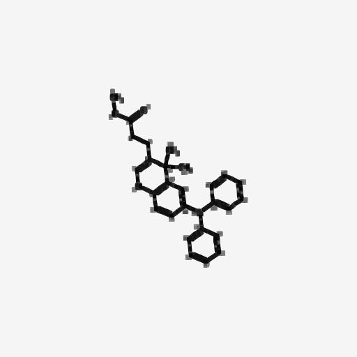 COC(=O)CCC1=COc2ccc(N(c3ccccc3)c3ccccc3)cc2C1(C)C